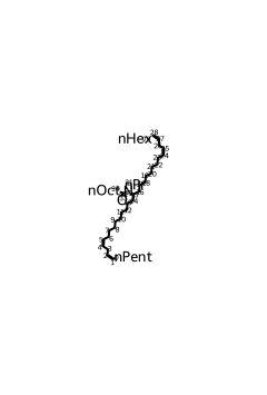 CCCCC/C=C\C/C=C\CCCCCCCCCC(CCCCCCCC/C=C\C/C=C\CCCCCC)N(CCC)C(=O)CCCCCCCC